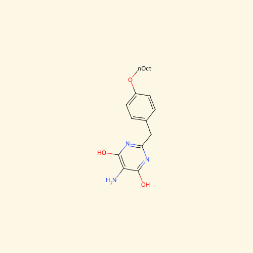 CCCCCCCCOc1ccc(Cc2nc(O)c(N)c(O)n2)cc1